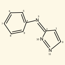 C1=CC(=Nc2ccccc2)N=N1